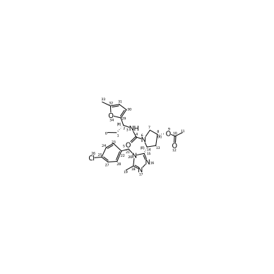 CC[C@@H](NC(=O)N1C[C@H](OC(C)=O)C[C@@H]1c1nnc(C)n1Cc1ccc(Cl)cc1)c1ccc(C)o1